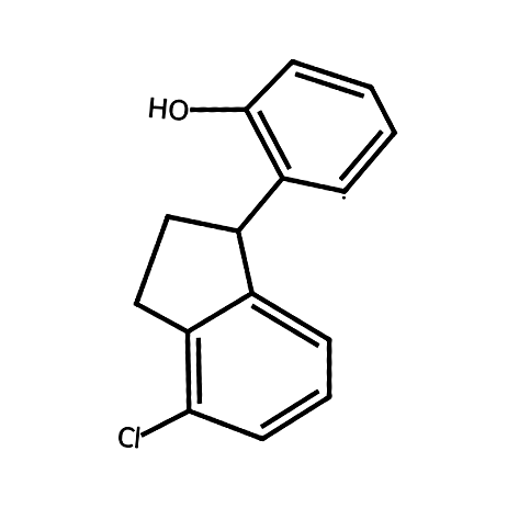 Oc1ccc[c]c1C1CCc2c(Cl)cccc21